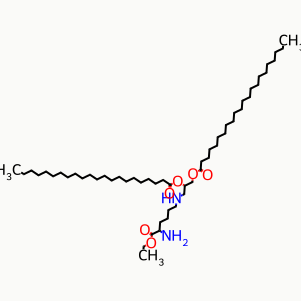 CCCCCCCCCCCCCCCCCCCCCC(=O)OCC(CNCCCCC(N)C(=O)OCC)OC(=O)CCCCCCCCCCCCCCCCCCCCC